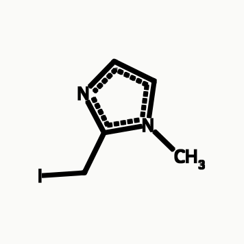 Cn1ccnc1CI